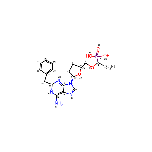 CCOC(=O)C(OC[C@@H]1CC[C@H](n2cnc3c(N)nc(Cc4ccccc4)nc32)O1)P(=O)(O)O